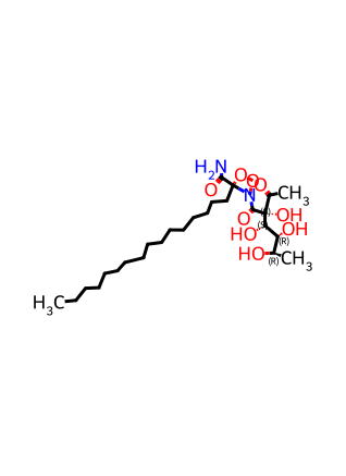 CCCCCCCCCCCCCCCCC1(C(N)=O)OON1C(=O)[C@@](O)(C(C)=O)[C@@H](O)[C@H](O)[C@@H](C)O